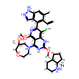 C=Cc1c(C)cc2[nH]ncc2c1-c1nc(OC)c2c(N3CCOC[C@@](C)(O)C3)nc(OC[C@@]34CCCN[C@@H]3CCC4)nc2c1F